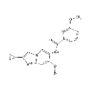 CCOc1cc2nc(C3CC3)cn2cc1NC(=O)c1cccc(OC(F)(F)F)n1